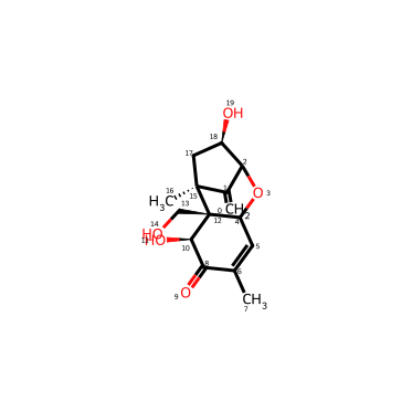 C=C1C2OC3C=C(C)C(=O)[C@@H](O)[C@]3(CO)[C@@]1(C)C[C@H]2O